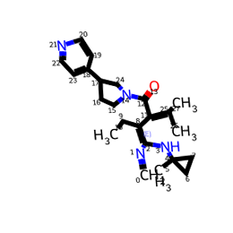 C=N/C(NC1(C)CC1)=C(\CC)C(C(=O)N1CCC(c2ccncc2)C1)=C(C)C